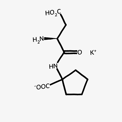 N[C@@H](CC(=O)O)C(=O)NC1(C(=O)[O-])CCCC1.[K+]